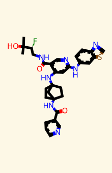 CC(C)(O)[C@H](F)CNC(=O)c1cnc(Nc2ccc3ncsc3c2)cc1NC12CCC(NC(=O)c3cccnc3)(CC1)C2